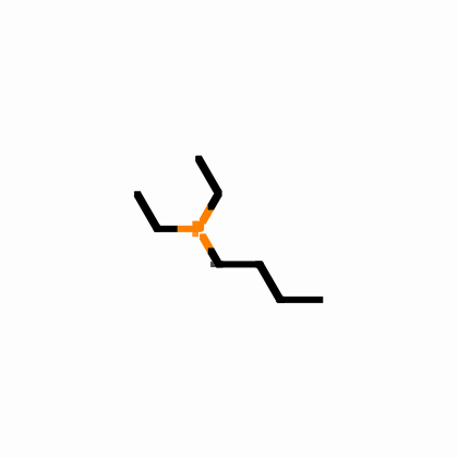 CCC[CH]P(CC)CC